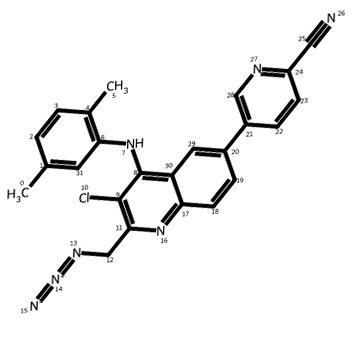 Cc1ccc(C)c(Nc2c(Cl)c(CN=[N+]=[N-])nc3ccc(-c4ccc(C#N)nc4)cc23)c1